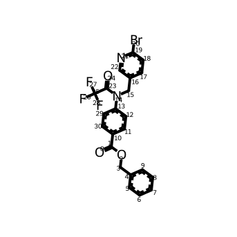 O=C(OCc1ccccc1)c1ccc(N(Cc2ccc(Br)nc2)C(=O)C(F)(F)F)cc1